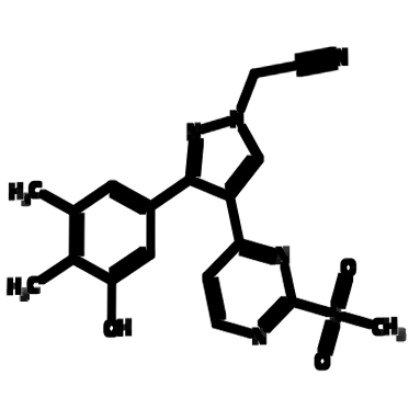 Cc1cc(-c2nn(CC#N)cc2-c2ccnc(S(C)(=O)=O)n2)cc(O)c1C